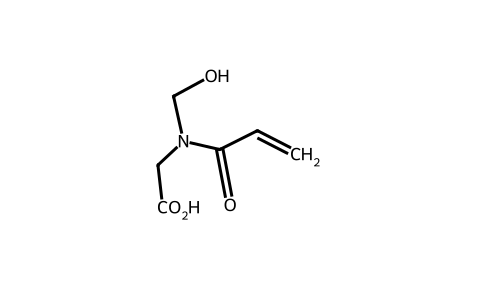 C=CC(=O)N(CO)CC(=O)O